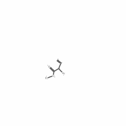 C=CC(C(C)=O)C(=O)OCC